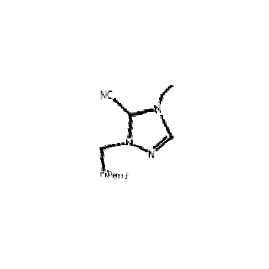 CCCCCCN1N=CN(C)C1C#N